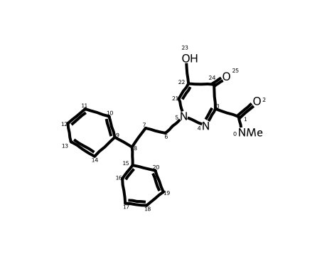 CNC(=O)c1nn(CCC(c2ccccc2)c2ccccc2)cc(O)c1=O